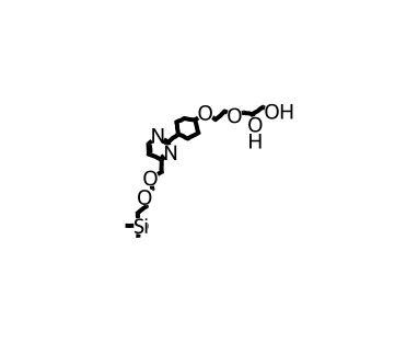 C[Si](C)(C)CCOCOCc1ccnc(C2CCC(OCCOCC(O)CO)CC2)n1